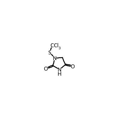 O=C1CN(SC(Cl)(Cl)Cl)C(=O)N1